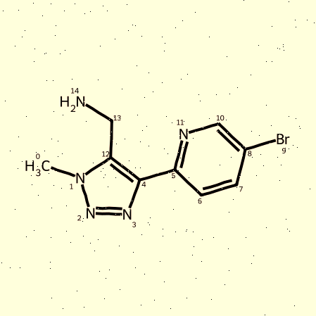 Cn1nnc(-c2ccc(Br)cn2)c1CN